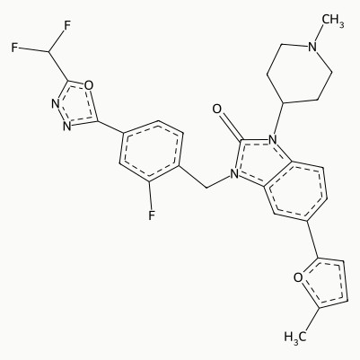 Cc1ccc(-c2ccc3c(c2)n(Cc2ccc(-c4nnc(C(F)F)o4)cc2F)c(=O)n3C2CCN(C)CC2)o1